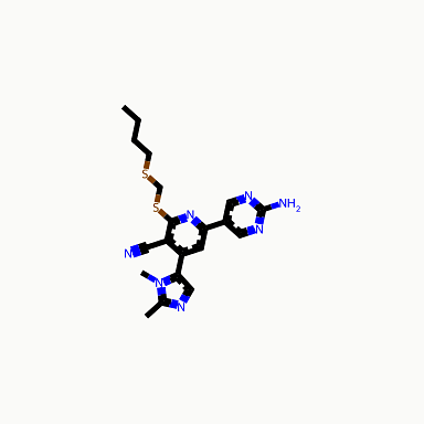 CCCCSCSc1nc(-c2cnc(N)nc2)cc(-c2cnc(C)n2C)c1C#N